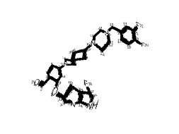 O=Cc1ccc(N2CC3(CC(N4CCN(Cc5ccc(F)c(F)c5)CC4)C3)C2)cc1Oc1cnc2[nH]cc(F)c2c1